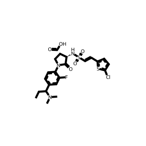 CCC(c1ccc(N2CC[C@H](NS(=O)(=O)/C=C/c3ccc(Cl)s3)C2=O)c(F)c1)N(C)C.O=CO